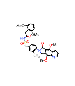 CCOc1c2c(c(OCC)c3ncccc13)CN(c1ccc(CS(=O)(=O)NC(=O)Cc3c(OC)cccc3OC)cc1C)C2=O